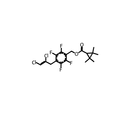 CC1(C)C(C(=O)OCc2c(F)c(F)c(CC(Cl)=CCl)c(F)c2F)C1(C)C